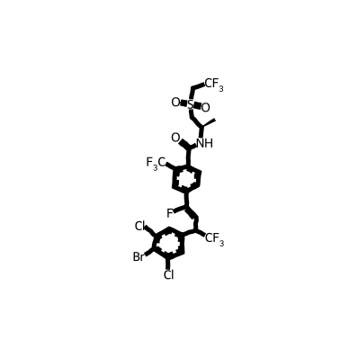 C[C@H](CS(=O)(=O)CC(F)(F)F)NC(=O)c1ccc(/C(F)=C/C(c2cc(Cl)c(Br)c(Cl)c2)C(F)(F)F)cc1C(F)(F)F